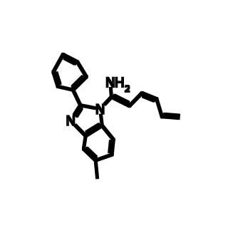 C=C/C=C\C=C(/N)n1c(-c2ccccc2)nc2cc(C)ccc21